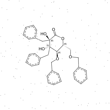 O=C1O[C@H](COCc2ccccc2)[C@@H](OCc2ccccc2)[C@@](O)(Cc2ccccc2)[C@]1(O)Cc1ccccc1